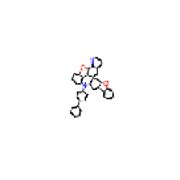 c1ccc(-c2ccc(N(c3ccc4oc5ccccc5c4c3)c3cccc4oc5c(ccc6cccnc65)c34)cc2)cc1